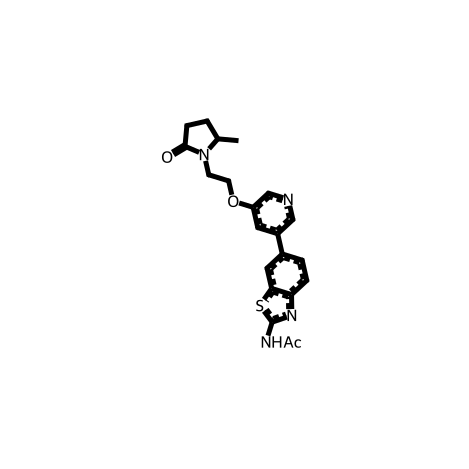 CC(=O)Nc1nc2ccc(-c3cncc(OCCN4C(=O)CCC4C)c3)cc2s1